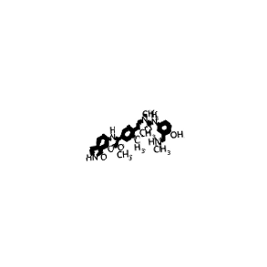 CNCc1cc(NC(=O)N(C)C[C@H](C)c2ccc(C(Nc3ccc4cc[nH]c(=O)c4c3)C(=O)OC)cc2C)ccc1O